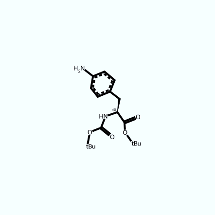 CC(C)(C)OC(=O)N[C@@H](Cc1ccc(N)cc1)C(=O)OC(C)(C)C